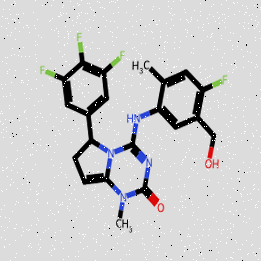 Cc1cc(F)c(CO)cc1NC1=NC(=O)N(C)C2=CCC(c3cc(F)c(F)c(F)c3)N21